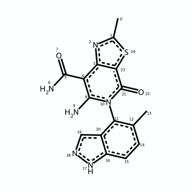 Cc1nc2c(C(N)=O)c(N)n(-c3c(C)ccc4[nH]ncc34)c(=O)c2s1